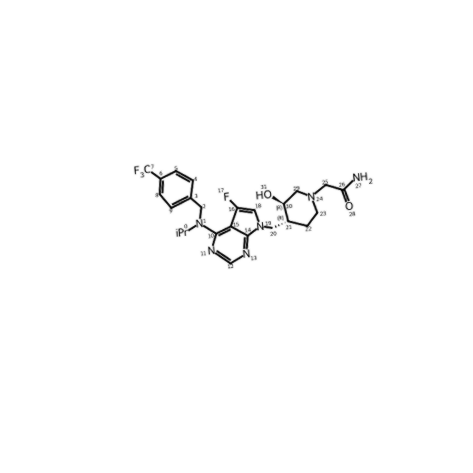 CC(C)N(Cc1ccc(C(F)(F)F)cc1)c1ncnc2c1c(F)cn2C[C@H]1CCN(CC(N)=O)C[C@@H]1O